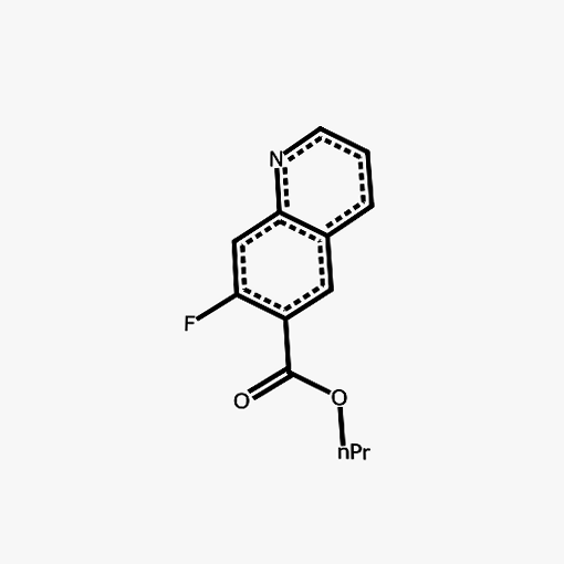 CCCOC(=O)c1cc2cccnc2cc1F